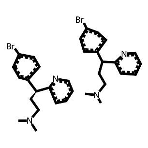 CN(C)CCC(c1ccc(Br)cc1)c1ccccn1.CN(C)CC[C@@H](c1ccc(Br)cc1)c1ccccn1